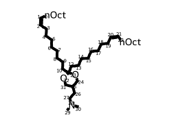 CCCCCCCC/C=C\CCCCCCCCC1(CCCCCCCC/C=C\CCCCCCCC)OCC(CCN(C)C)CO1